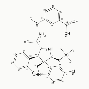 CC(C)(C)C[C@@H]1N[C@@H](C(N)=O)[C@H](c2ccccc2Cl)[C@]12CNc1ccc(Cl)cc12.COc1cccc(C(=O)O)c1